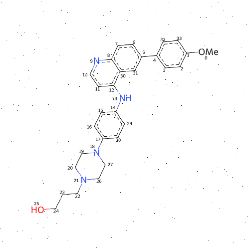 COc1ccc(-c2ccc3nccc(Nc4ccc(N5CCN(CCCO)CC5)cc4)c3c2)cc1